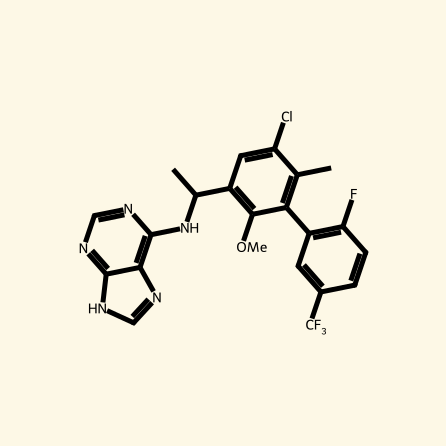 COc1c(C(C)Nc2ncnc3[nH]cnc23)cc(Cl)c(C)c1-c1cc(C(F)(F)F)ccc1F